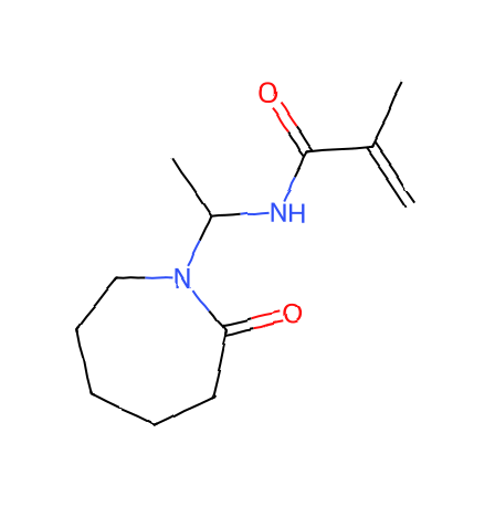 C=C(C)C(=O)NC(C)N1CCCCCC1=O